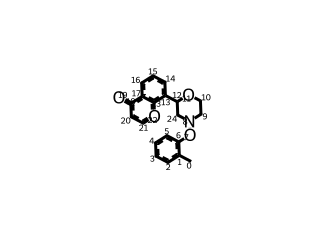 Cc1ccccc1ON1CCOC(c2cccc3c(=O)ccoc23)C1